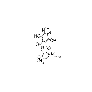 COc1ccc(OC)c(CN2C(=O)c3c(c(O)c4nccnc4c3O)C2=O)c1